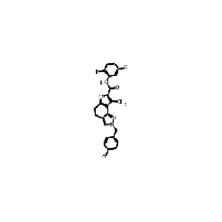 Cc1c(C(=O)Nc2cc(F)ccc2F)oc2c1-c1nn(Cc3ccc(Cl)cc3)cc1CC2